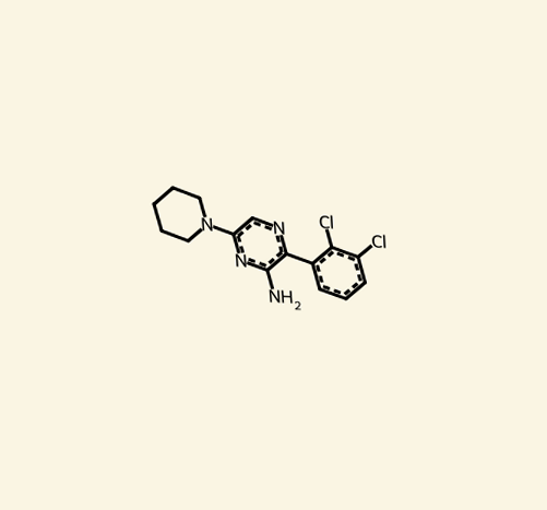 Nc1nc(N2CCCCC2)cnc1-c1cccc(Cl)c1Cl